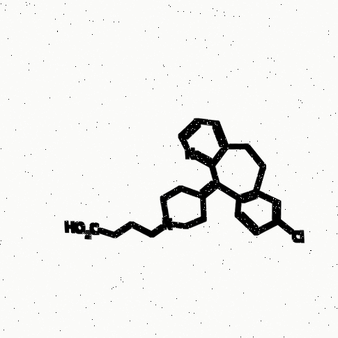 O=C(O)CCCN1CCC(=C2c3ccc(Cl)cc3CCc3cccnc32)CC1